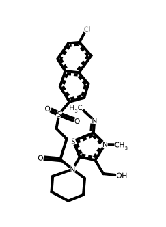 C/N=c1\sc([N+]2(C(=O)CCS(=O)(=O)c3ccc4cc(Cl)ccc4c3)CCCCC2)c(CO)n1C